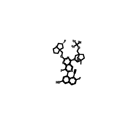 [2H]C([2H])([2H])OCC12CCC(C)(CN(c3nc(OC[C@@]45CCCN4C[C@H](F)C5)nc4c(F)c(-c5cc(O)cc6ccc(F)c(C#C)c56)ncc34)C1)N2